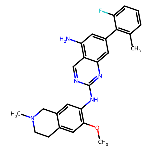 COc1cc2c(cc1Nc1ncc3c(N)cc(-c4c(C)cccc4F)cc3n1)CN(C)CC2